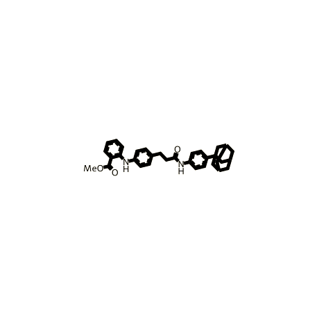 COC(=O)c1ccccc1Nc1ccc(CCC(=O)Nc2ccc(C34CC5CC(CC(C5)C3)C4)cc2)cc1